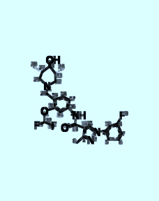 Cc1nn(-c2cccc(F)c2)cc1C(=O)Nc1ccc(CN2C[C@@H](C)[C@H](O)[C@@H](C)C2)c(OC(F)F)c1